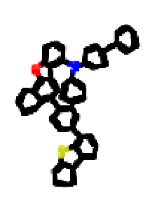 c1ccc(-c2ccc(N(c3ccccc3)c3cccc4oc5c6ccccc6c(-c6ccc(-c7cccc8c7sc7ccccc78)cc6)cc5c34)cc2)cc1